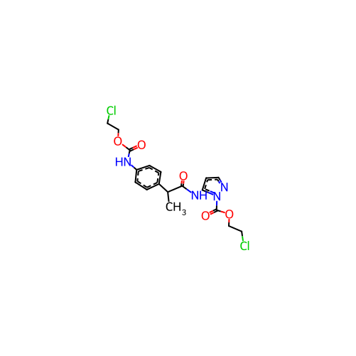 CC(C(=O)Nc1ccnn1C(=O)OCCCl)c1ccc(NC(=O)OCCCl)cc1